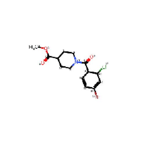 COC(=O)C1CCN(C(=O)C2C=CC(Br)=CC2Cl)CC1